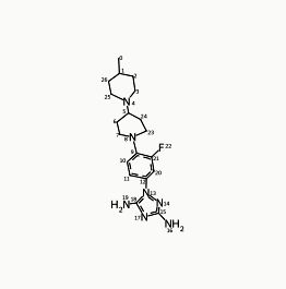 CC1CCN(C2CCN(c3ccc(-n4nc(N)nc4N)cc3F)CC2)CC1